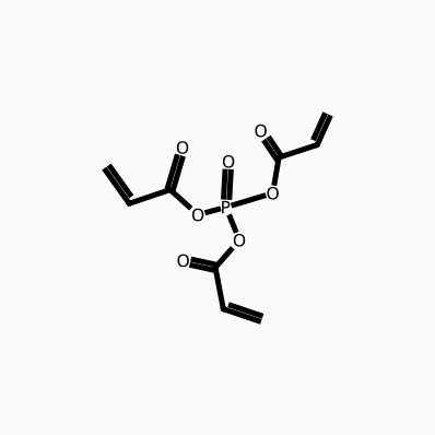 C=CC(=O)OP(=O)(OC(=O)C=C)OC(=O)C=C